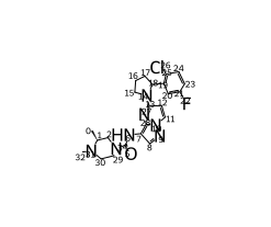 C[C@H]1CN(C(=O)Nc2cnn3ccc(N4CCCC4c4cc(F)ccc4Cl)nc23)CCN1C